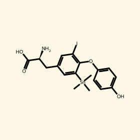 [CH3][Sn]([CH3])([CH3])[c]1cc(C[C@H](N)C(=O)O)cc(I)c1Oc1ccc(O)cc1